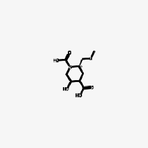 COC[C@@H]1CC(C(=O)O)C(O)CN1C(=O)O